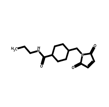 CCCNC(=O)C1CCC(CN2C(=O)C=CC2=O)CC1